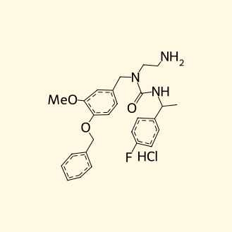 COc1cc(CN(CCN)C(=O)NC(C)c2ccc(F)cc2)ccc1OCc1ccccc1.Cl